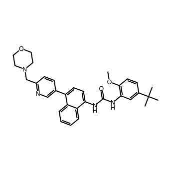 COc1ccc(C(C)(C)C)cc1NC(=O)Nc1ccc(-c2ccc(CN3CCOCC3)nc2)c2ccccc12